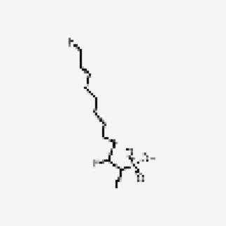 O=S(=O)(O)C(F)C(F)CCCCCCCCCF